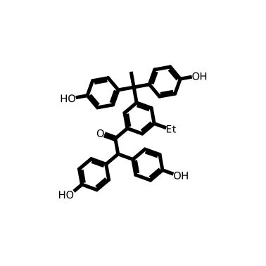 CCc1cc(C(=O)C(c2ccc(O)cc2)c2ccc(O)cc2)cc(C(C)(c2ccc(O)cc2)c2ccc(O)cc2)c1